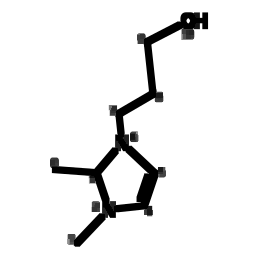 CC1N(C)C=CN1CCCO